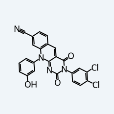 N#Cc1ccc2cc3c(=O)n(-c4ccc(Cl)c(Cl)c4)c(=O)nc-3n(-c3cccc(O)c3)c2c1